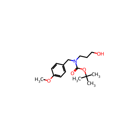 COc1ccc(CN(CCCO)C(=O)OC(C)(C)C)cc1